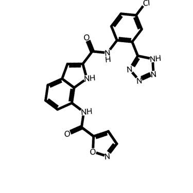 O=C(Nc1ccc(Cl)cc1-c1nnn[nH]1)c1cc2cccc(NC(=O)c3ccno3)c2[nH]1